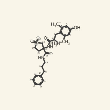 Cc1cc(O)cc(C)c1CC(N)C(=O)NC1(C(=O)NCCCc2ccccc2)CCS(=O)(=O)C1